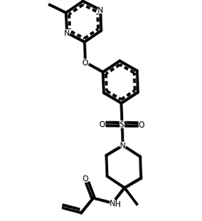 C=CC(=O)NC1(C)CCN(S(=O)(=O)c2cccc(Oc3cncc(C)n3)c2)CC1